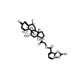 CCCC1OC2C(C(=O)OCC(=O)[C@@H]3CC[C@H]4[C@@H]5C[C@H](F)C6=CC(=O)C=C[C@]6(C)C5(F)[C@@H](O)C[C@]34C)=CC=CN2O1